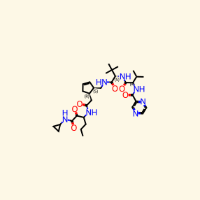 CCCC(NC(=O)C[C@H]1CC=C[C@H]1CNC(=O)[C@@H](NC(=O)[C@H](NC(=O)c1cnccn1)C(C)C)C(C)(C)C)C(=O)C(=O)NC1CC1